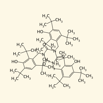 CC(C)(C)c1cc(C(C)(C)C)c(Cn2c(=O)n(Cc3c(C(C)(C)C)cc(C(C)(C)C)c(O)c3C(C)(C)C)c(=O)n(Cc3c(C(C)(C)C)cc(C(C)(C)C)c(O)c3C(C)(C)C)c2=O)c(C(C)(C)C)c1O